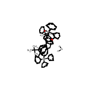 CC(C)(C)c1cc2c(cc1-c1ccccc1[Si](c1ccccc1)(c1ccccc1)c1ccccc1)[CH]c1cc(-c3ccccc3[Si](c3ccccc3)(c3ccccc3)c3ccccc3)c(C(C)(C)C)cc1-2.[Cl][Zr][Cl]